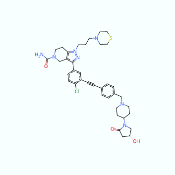 NC(=O)N1CCc2c(c(-c3ccc(Cl)c(C#Cc4ccc(CN5CCC(N6C[C@H](O)CC6=O)CC5)cc4)c3)nn2CCCN2CCSCC2)C1